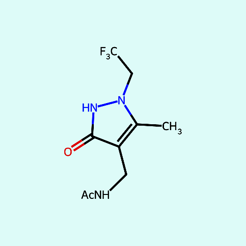 CC(=O)NCc1c(C)n(CC(F)(F)F)[nH]c1=O